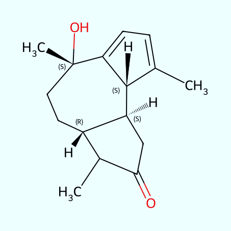 CC1=CC=C2[C@H]1[C@H]1CC(=O)C(C)[C@@H]1CC[C@]2(C)O